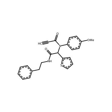 C#CC(=O)N(c1ccc(OC)cc1)C(C(=O)NCCc1ccccc1)c1cccs1